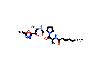 CC(C)[C@H](NC(=O)[C@@H]1CCCN1C(=O)[C@@H](NC(=O)CCCCC(=O)O)C(C)C)C(=O)c1nnc(C(C)(C)C)o1